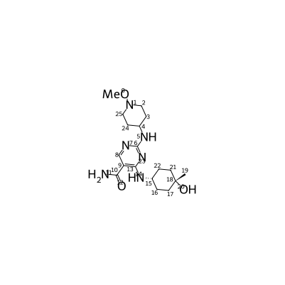 CON1CCC(Nc2ncc(C(N)=O)c(N[C@H]3CC[C@@](C)(O)CC3)n2)CC1